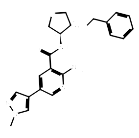 Cn1cc(-c2cnc(N)c(C(=O)N[C@H]3COC[C@@H]3OCc3ccccc3)c2)cn1